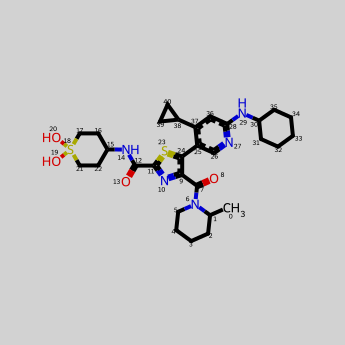 CC1CCCCN1C(=O)c1nc(C(=O)NC2CCS(O)(O)CC2)sc1-c1cnc(NC2CCCCC2)cc1C1CC1